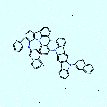 c1cc2c3c(c1)-n1c4c(cccc4c4ccc5c6ccccc6n(-c6ccc7ccccc7c6)c5c41)B3c1cccc3c4cc5c(cc4n-2c13)c1ccccc1n5-c1ccc2ccccc2c1